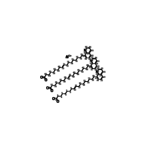 O=C([O-])CCCCCCCC=CCCCCCCCCc1cccc2cccnc12.O=C([O-])CCCCCCCC=CCCCCCCCCc1cccc2cccnc12.O=C([O-])CCCCCCCC=CCCCCCCCCc1cccc2cccnc12.[Al+3]